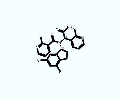 Cc1ncccc1C(=O)N([C@@H]1CCc2c(F)cc(Cl)cc21)[C@@H](C(N)=O)c1cccnc1C